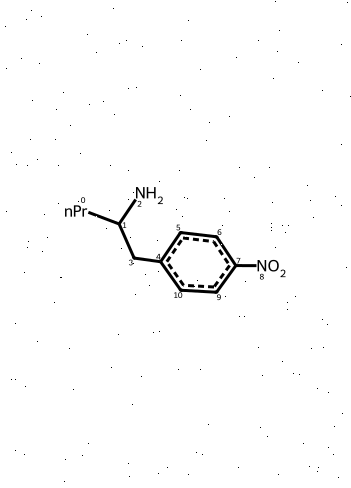 CCCC(N)Cc1ccc([N+](=O)[O-])cc1